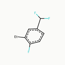 CCc1cc(C(F)F)ccc1F